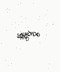 Cc1cc(N2CCC3(CC2)COC3)cc2c(=O)[nH]c(-c3cc4ccsc4cn3)nc12